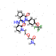 CN(C)C(=O)COCCn1cccc(Nc2nn(-c3ccc(OC(F)(F)F)cc3)c(=O)c3c2CCC3)c1=O